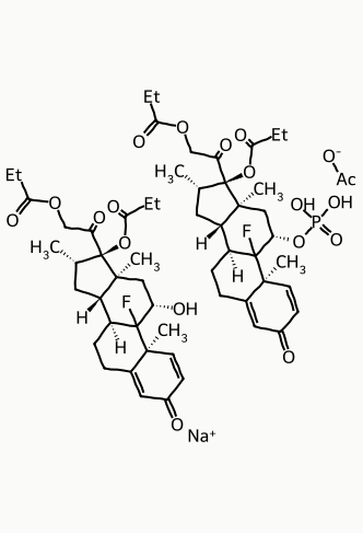 CC(=O)[O-].CCC(=O)OCC(=O)[C@@]1(OC(=O)CC)[C@@H](C)C[C@H]2[C@@H]3CCC4=CC(=O)C=C[C@]4(C)C3(F)[C@@H](O)C[C@@]21C.CCC(=O)OCC(=O)[C@@]1(OC(=O)CC)[C@@H](C)C[C@H]2[C@@H]3CCC4=CC(=O)C=C[C@]4(C)C3(F)[C@@H](OP(=O)(O)O)C[C@@]21C.[Na+]